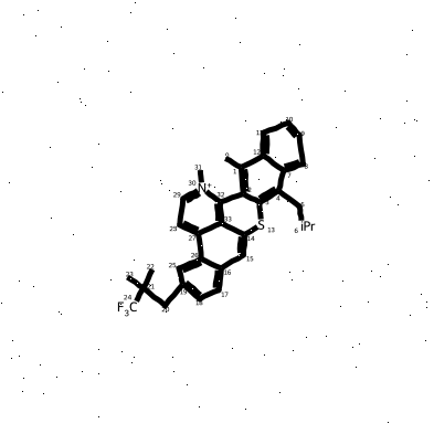 Cc1c2c(c(CC(C)C)c3ccccc13)Sc1cc3ccc(CC(C)(C)C(F)(F)F)cc3c3cc[n+](C)c-2c13